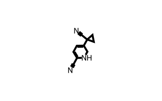 N#CC1=CC=C(C2(C#N)CC2)CN1